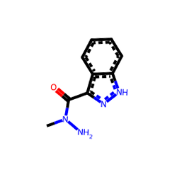 CN(N)C(=O)c1n[nH]c2ccccc12